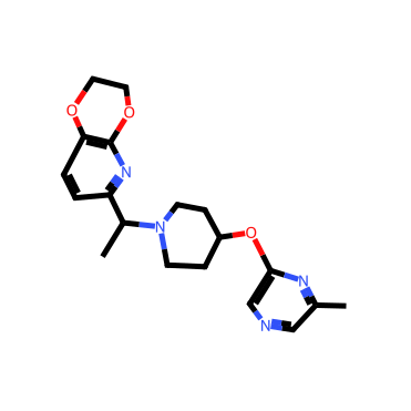 Cc1cncc(OC2CCN(C(C)c3ccc4c(n3)OCCO4)CC2)n1